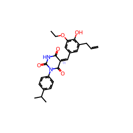 C=CCc1cc(/C=C2\C(=O)NC(=O)N(c3ccc(C(C)C)cc3)C2=O)cc(OCC)c1O